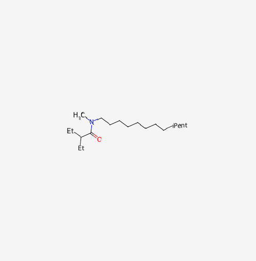 CCCC(C)CCCCCCCCN(C)C(=O)C(CC)CC